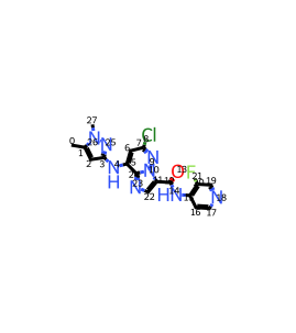 Cc1cc(Nc2cc(Cl)nn3c(C(=O)Nc4ccncc4F)cnc23)nn1C